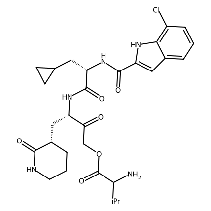 CC(C)C(N)C(=O)OCC(=O)[C@H](C[C@@H]1CCCNC1=O)NC(=O)[C@H](CC1CC1)NC(=O)c1cc2cccc(Cl)c2[nH]1